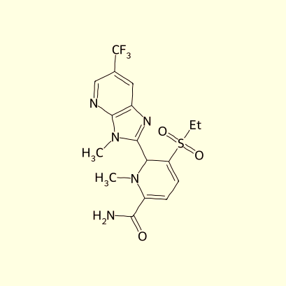 CCS(=O)(=O)C1=CC=C(C(N)=O)N(C)C1c1nc2cc(C(F)(F)F)cnc2n1C